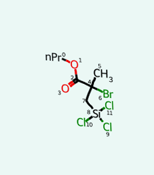 CCCOC(=O)C(C)(Br)C[Si](Cl)(Cl)Cl